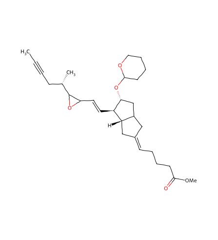 CC#CC[C@H](C)C1OC1/C=C/[C@H]1[C@H](OC2CCCCO2)CC2C/C(=C\CCCC(=O)OC)C[C@@H]21